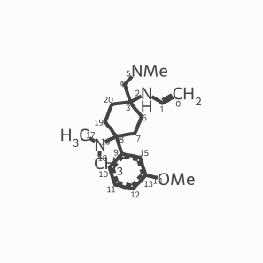 C=CNC1(CNC)CCC(c2cccc(OC)c2)(N(C)C)CC1